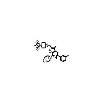 Cc1cccc(-c2cc3c(C)c(CN4CCN(S(C)(=O)=O)CC4)sc3c(N3CCOCC3)n2)c1